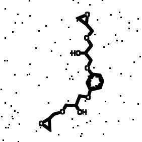 OC(COCC1CO1)COc1cccc(OCC(O)COCC2CO2)c1